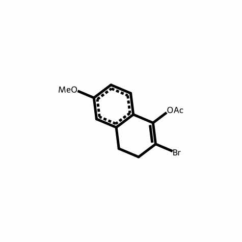 COc1ccc2c(c1)CCC(Br)=C2OC(C)=O